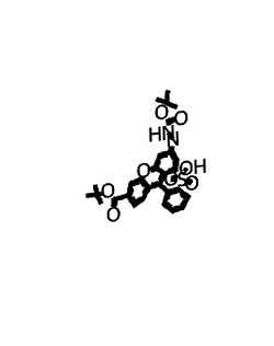 CC(C)(C)OC(=O)N/N=c1/ccc2c(-c3ccccc3S(=O)(=O)O)c3ccc(C(=O)OC(C)(C)C)cc3oc-2c1